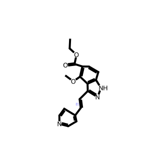 CCOC(=O)c1ccc2[nH]nc(/C=C/c3ccncc3)c2c1OC